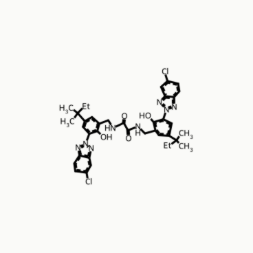 CCC(C)(C)c1cc(CNC(=O)C(=O)NCc2cc(C(C)(C)CC)cc(-n3nc4ccc(Cl)cc4n3)c2O)c(O)c(-n2nc3ccc(Cl)cc3n2)c1